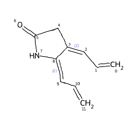 C=C/C=C1/CC(=O)N/C1=C/C=C